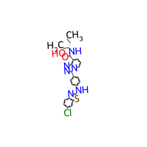 C=C(O)[C@H](CCC)NC(=O)c1cccn2c(-c3ccc(Nc4nc5ccc(Cl)cc5s4)cc3)nnc12